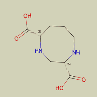 O=C(O)[C@@H]1CCCN[C@H](C(=O)O)CN1